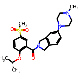 C[C@H](Oc1ccc(S(C)(=O)=O)cc1C(=O)N1Cc2ccc(N3CCN(C)CC3)cc2C1)C(F)(F)F